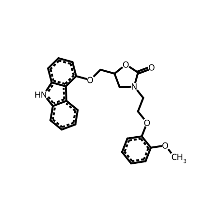 COc1ccccc1OCCN1CC(COc2cccc3[nH]c4ccccc4c23)OC1=O